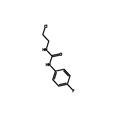 O=C(NCCCl)Nc1ccc(F)cc1